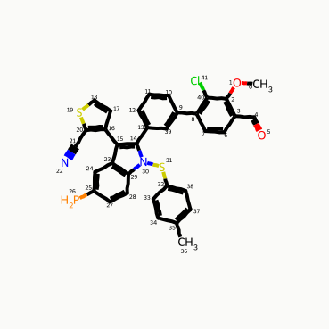 COc1c(C=O)ccc(-c2cccc(-c3c(-c4ccsc4C#N)c4cc(P)ccc4n3Sc3ccc(C)cc3)c2)c1Cl